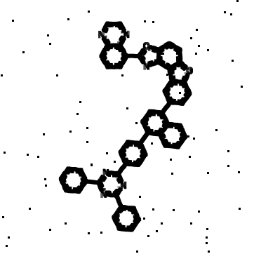 c1ccc(-c2nc(-c3ccccc3)nc(-c3ccc(-c4ccc(-c5ccc6oc7ccc8oc(-c9cccc%10nccnc9%10)nc8c7c6c5)c5ccccc45)cc3)n2)cc1